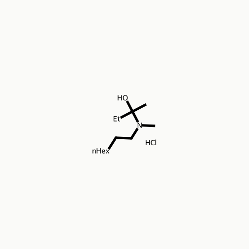 CCCCCCCCN(C)C(C)(O)CC.Cl